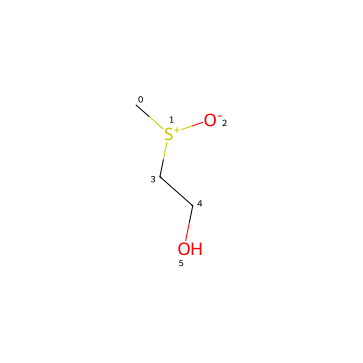 C[S+]([O-])CCO